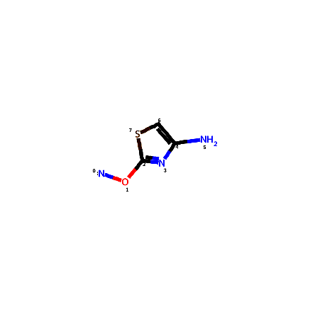 [N]Oc1nc(N)cs1